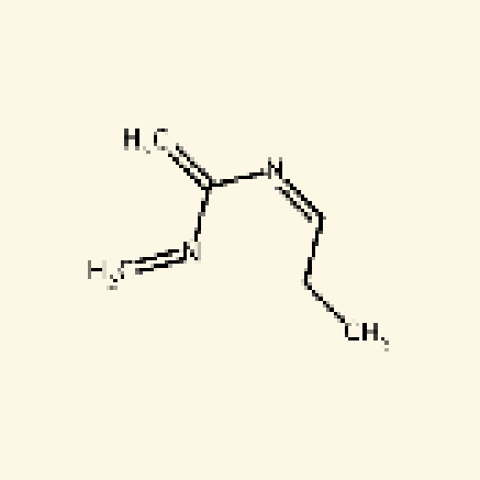 C=NC(=C)/N=C\CC